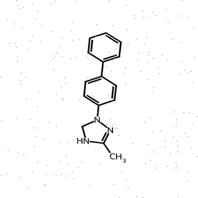 CC1=NN(c2ccc(-c3ccccc3)cc2)CN1